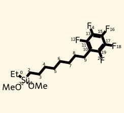 CC[Si](CCCCCCCCc1c(F)c(F)c(F)c(F)c1F)(OC)OC